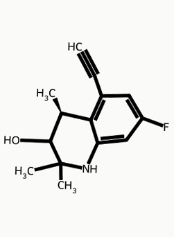 C#Cc1cc(F)cc2c1[C@H](C)C(O)C(C)(C)N2